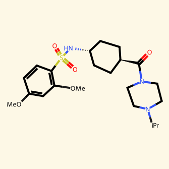 COc1ccc(S(=O)(=O)N[C@H]2CC[C@H](C(=O)N3CCN(C(C)C)CC3)CC2)c(OC)c1